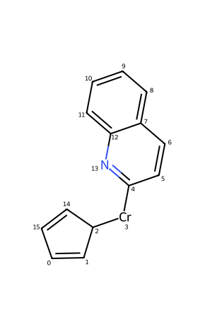 C1=C[CH]([Cr][c]2ccc3ccccc3n2)C=C1